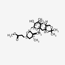 C=C1[C@H](C)C[C@H](CCC(=O)OC)O[C@@H]1C[C@@H]1O[C@H]2C[C@H]3OC(C)(C)OC[C@H]3O[C@H]2[C@H](C)[C@H]1O